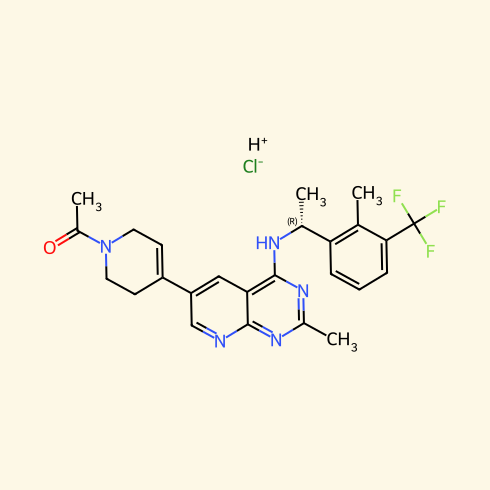 CC(=O)N1CC=C(c2cnc3nc(C)nc(N[C@H](C)c4cccc(C(F)(F)F)c4C)c3c2)CC1.[Cl-].[H+]